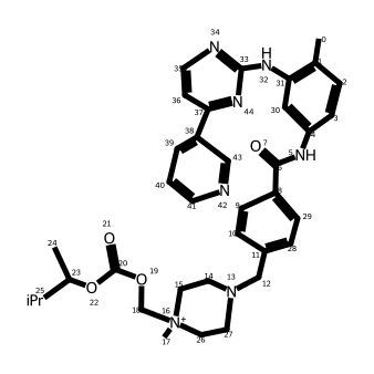 Cc1ccc(NC(=O)c2ccc(CN3CC[N+](C)(COC(=O)OC(C)C(C)C)CC3)cc2)cc1Nc1nccc(-c2cccnc2)n1